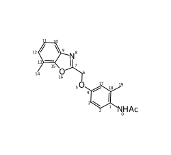 CC(=O)Nc1ccc(OCc2nc3cccc(C)c3o2)cc1C